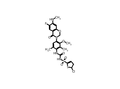 CNc1cc2c(cc1F)C(=O)N(c1cc(C)c(NC(=O)NS(=O)(=O)C3=CCC(Cl)S3)c(C)c1OC)CO2